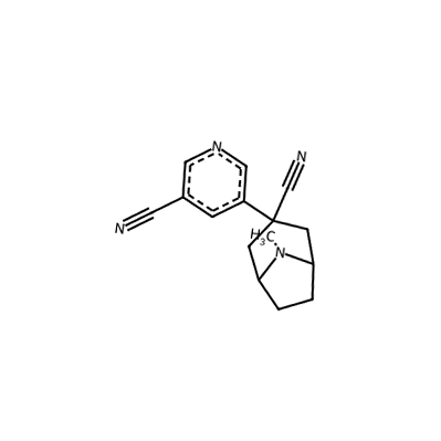 CN1C2CCC1CC(C#N)(c1cncc(C#N)c1)C2